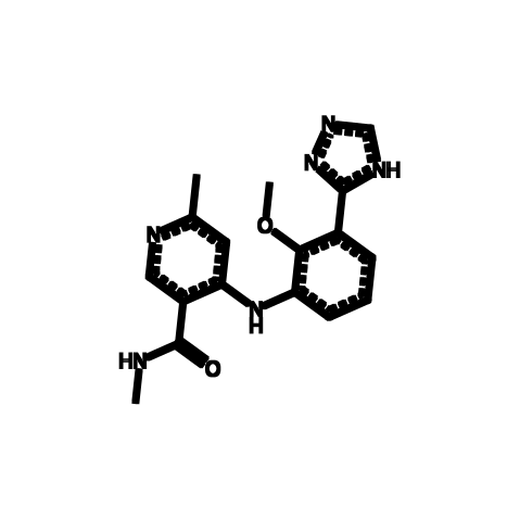 CNC(=O)c1cnc(C)cc1Nc1cccc(-c2nnc[nH]2)c1OC